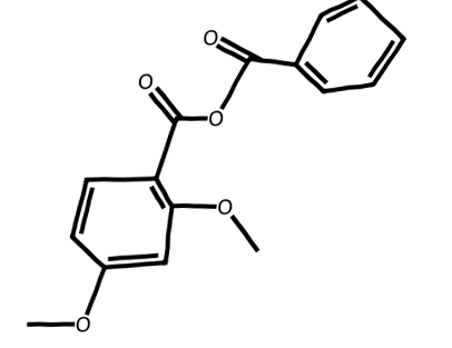 COc1ccc(C(=O)OC(=O)c2ccccc2)c(OC)c1